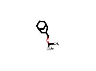 COC(C)OCC1CC2CCCC(C2)C1